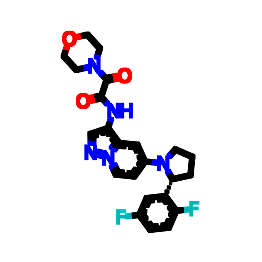 O=C(Nc1cnn2ccc(N3CCC[C@@H]3c3cc(F)ccc3F)cc12)C(=O)N1CCOCC1